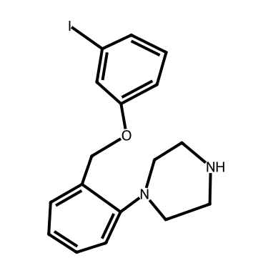 Ic1cccc(OCc2ccccc2N2CCNCC2)c1